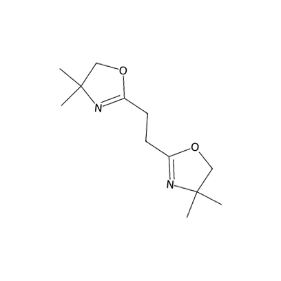 CC1(C)COC(CCC2=NC(C)(C)CO2)=N1